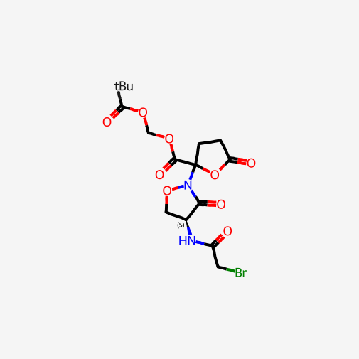 CC(C)(C)C(=O)OCOC(=O)C1(N2OC[C@H](NC(=O)CBr)C2=O)CCC(=O)O1